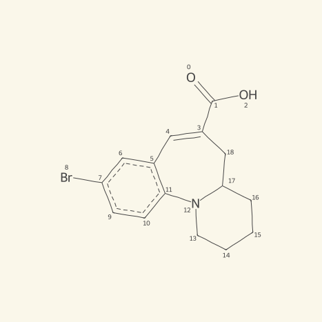 O=C(O)C1=Cc2cc(Br)ccc2N2CCCCC2C1